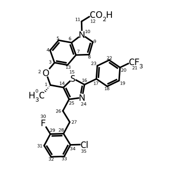 C[C@H](Oc1ccc2c(ccn2CC(=O)O)c1)c1sc(-c2ccc(C(F)(F)F)cc2)nc1CCc1c(F)cccc1Cl